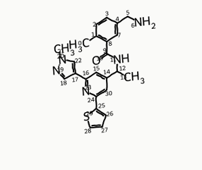 Cc1ccc(CN)cc1C(=O)NC(C)c1cc(-c2cnn(C)c2)nc(-c2cccs2)c1